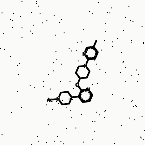 CC(=O)N1CCC(c2cccnc2OC2CCN(c3ccc(C)cn3)CC2)CC1